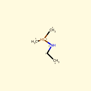 CCN[SH](C)C